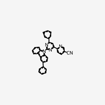 N#Cc1ccc(-c2cc(-c3ccccc3)nc(-n3c4ccccc4c4cc(-c5ccccc5)ccc43)n2)nc1